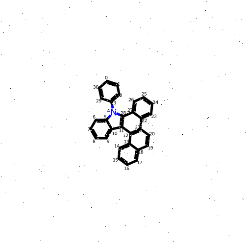 c1ccc(-n2c3ccccc3c3c4c5ccccc5ccc4c4ccccc4c32)cc1